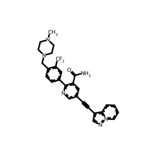 CN1CCN(Cc2ccc(-c3ncc(C#Cc4cnn5ccccc45)cc3C(N)=O)cc2C(F)(F)F)CC1